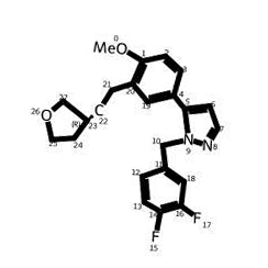 COc1ccc(-c2ccnn2Cc2ccc(F)c(F)c2)cc1CC[C@@H]1CCOC1